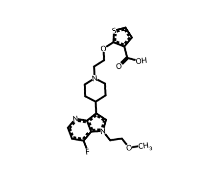 COCCn1cc(C2CCN(CCOc3sccc3C(=O)O)CC2)c2nccc(F)c21